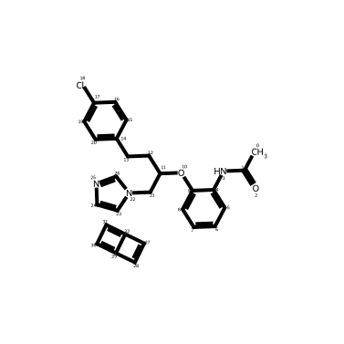 CC(=O)Nc1ccccc1OC(CCc1ccc(Cl)cc1)Cn1ccnc1.c1cc2ccc1-2